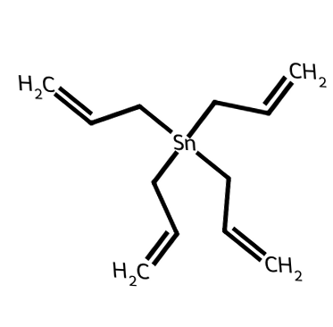 C=C[CH2][Sn]([CH2]C=C)([CH2]C=C)[CH2]C=C